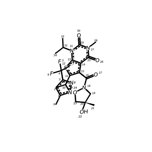 Cc1c2c(C(F)(F)F)nn1C2c1sc2c(c1C(=O)N1C[C@](C)(O)CO1)c(=O)n(C)c(=O)n2C(C)C